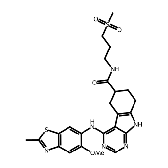 COc1cc2nc(C)sc2cc1Nc1ncnc2[nH]c3c(c12)CC(C(=O)NCCCS(C)(=O)=O)CC3